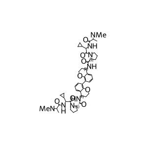 CNC(C)C(=O)NC(C(=O)N1CCC[C@H]1C(=O)N[C@@H]1CCOc2c(-c3cccc4c3OCC[C@H]4NC(=O)[C@@H]3CCCN3C(=O)C(NC(=O)C(C)NC)C3CC3)cccc21)C1CC1